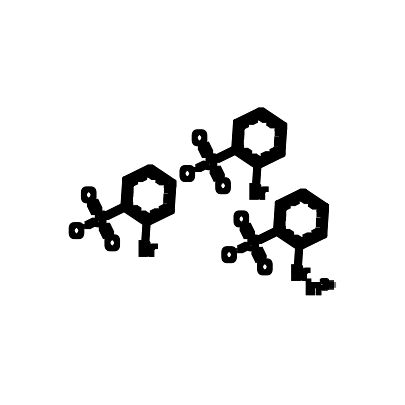 O=S(=O)([O-])c1ccccc1Br.O=S(=O)([O-])c1ccccc1Br.O=S(=O)([O-])c1ccccc1Br.[In+3]